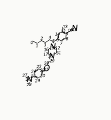 CCCCCC(c1ccc(C#N)c(C)c1)N1CCN(CCOc2ccc(N(C)C)cc2)CC1